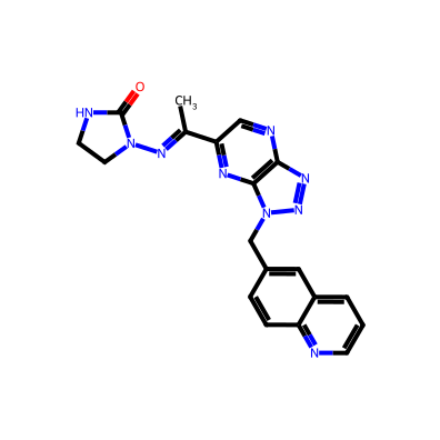 CC(=NN1CCNC1=O)c1cnc2nnn(Cc3ccc4ncccc4c3)c2n1